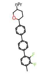 CCCC1CCC(c2ccc(-c3ccc(-c4ccc(C)c(F)c4F)cc3)cc2)OC1